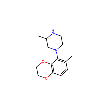 Cc1ccc2c(c1N1CCNC(C)C1)OCCO2